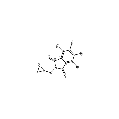 O=C1c2c(Br)c(Br)c(Br)c(Br)c2C(=O)N1CC1CO1